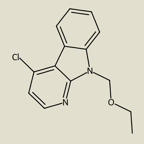 CCOCn1c2ccccc2c2c(Cl)ccnc21